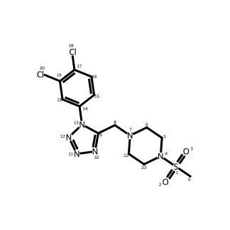 CS(=O)(=O)N1CCN(Cc2nnnn2-c2ccc(Cl)c(Cl)c2)CC1